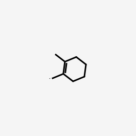 [CH2]C1=C(C)CCCC1